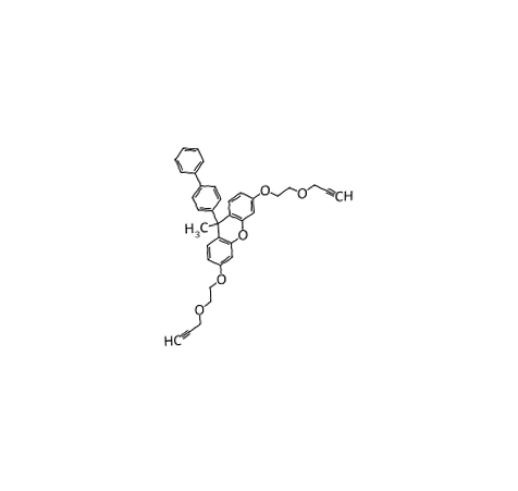 C#CCOCCOc1ccc2c(c1)Oc1cc(OCCOCC#C)ccc1C2(C)c1ccc(-c2ccccc2)cc1